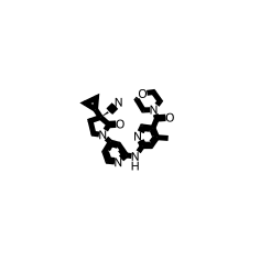 Cc1cc(Nc2cc(N3CC[C@@](C#N)(C4CC4)C3=O)ccn2)ncc1C(=O)N1CCOCC1